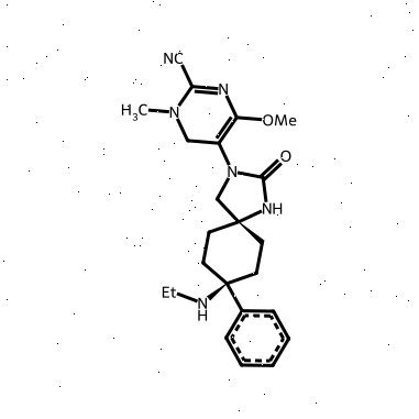 CCN[C@]1(c2ccccc2)CC[C@@]2(CC1)CN(C1=C(OC)N=C(C#N)N(C)C1)C(=O)N2